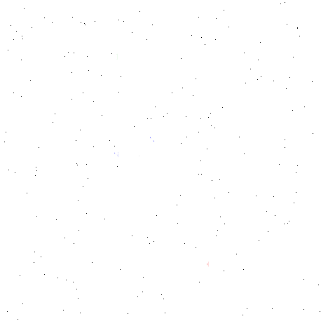 N=C(Nc1ccc(Cl)cc1)c1ccc2cc(O)ccc2c1